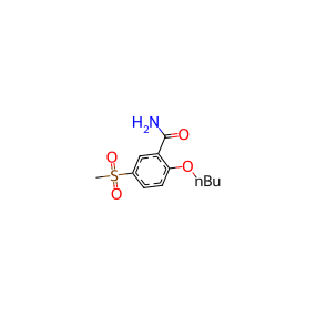 CCCCOc1ccc(S(C)(=O)=O)cc1C(N)=O